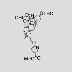 CC[C@H]1[C@@H](OC=O)[C@@H]2[C@H](CC[C@]3(C)[C@@H]([C@H](C)CCOc4ccc(C(=O)OC)cn4)CC[C@@H]23)[C@@]2(C)CC[C@@H](OC=O)C[C@@H]12